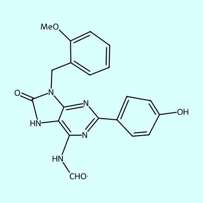 COc1ccccc1Cn1c(=O)[nH]c2c(N[C]=O)nc(-c3ccc(O)cc3)nc21